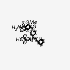 COc1cc(C(=O)N2CCC(N(C)CCc3ccccc3)CC2)cc(C)c1N(C)C(N)=O.O=C(O)C(=O)O